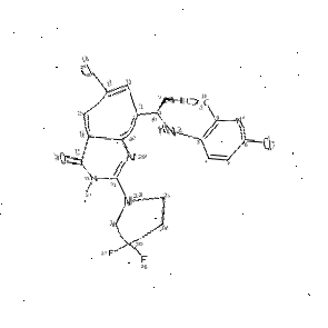 C[C@@H](Nc1ccc(Cl)nc1C(=O)O)c1cc(Cl)cc2c(=O)n(C)c(N3CCC(F)(F)C3)nc12